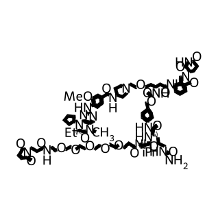 CC[C@@H]1C(=O)N(C)c2cnc(Nc3ccc(C(=O)NC4CCN(CCOCCC(CC(=O)Nc5cccc6c5CN(C5CCC(=O)NC5=O)C6=O)NC(=O)OCc5ccc(NC(=O)[C@H](CCCNC(N)=O)NC(=O)[C@@H](NC(=O)CCOCCOCCOCCOCCOCCNC(=O)CCN6C(=O)C=CC6=O)C(C)C)cc5)CC4)cc3OC)nc2N1C1CCCC1